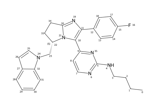 CCCCNc1nccc(-c2c(-c3ccc(F)cc3)nc3n2[C@H](Cn2ccc4ccccc42)CC3)n1